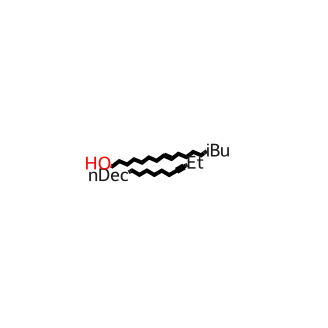 CCC#CCCCCCCCCCCCCCCCC.CCC(C)CCCCC=CCCCCCCCO